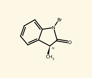 C[C@@H]1C(=O)N(Br)c2ccccc21